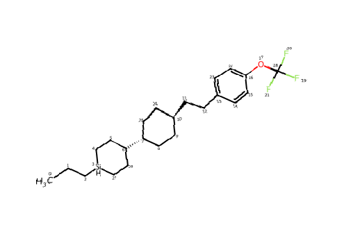 CCC[SiH]1CCC([C@H]2CC[C@H](CCc3ccc(OC(F)(F)F)cc3)CC2)CC1